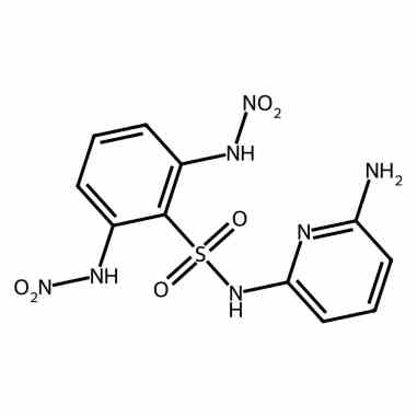 Nc1cccc(NS(=O)(=O)c2c(N[N+](=O)[O-])cccc2N[N+](=O)[O-])n1